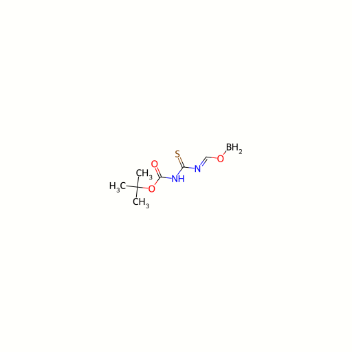 BOC=NC(=S)NC(=O)OC(C)(C)C